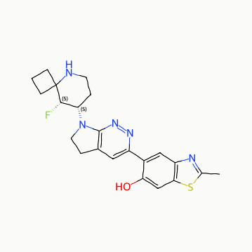 Cc1nc2cc(-c3cc4c(nn3)N([C@H]3CCNC5(CCC5)[C@H]3F)CC4)c(O)cc2s1